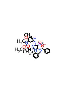 COc1ccc(Nc2ncnc(N(Cc3ccccc3)Cc3ccccc3)c2[N+](=O)[O-])cc1N(C)C(=O)OC(C)(C)C